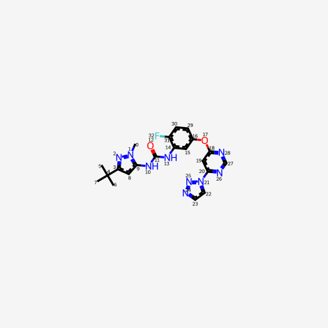 Cn1nc(C(C)(C)C)cc1NC(=O)Nc1cc(Oc2cc(-n3ccnn3)ncn2)ccc1F